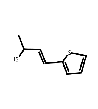 CC(S)C=Cc1cccs1